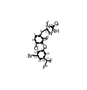 Cn1c(Cc2ccc(Cl)c(Oc3cc(Br)cc(C(F)F)c3)c2F)n[nH]c1=O